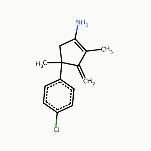 C=C1C(C)=C(N)CC1(C)c1ccc(Cl)cc1